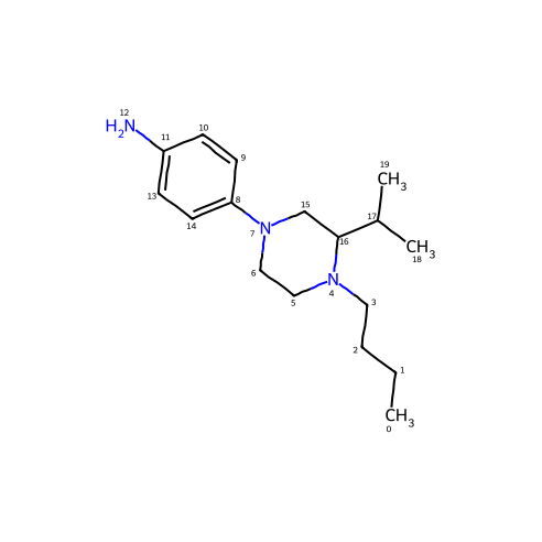 CCCCN1CCN(c2ccc(N)cc2)CC1C(C)C